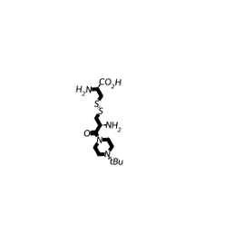 CC(C)(C)N1CCN(C(=O)[C@@H](N)CSSC[C@H](N)C(=O)O)CC1